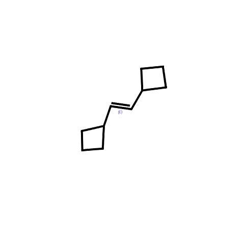 C(=C\C1CCC1)/C1CCC1